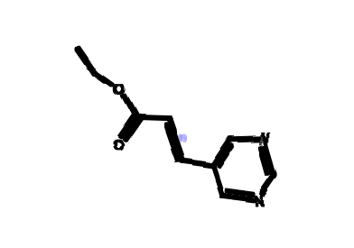 CCOC(=O)/C=C/c1cncnc1